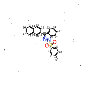 Cc1ccc(S(=O)(=O)n2nc(-c3ccc4ccccc4c3)c3ccccc32)cc1